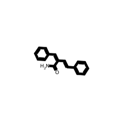 NC(=O)C(C=Cc1ccccc1)=Cc1ccccc1